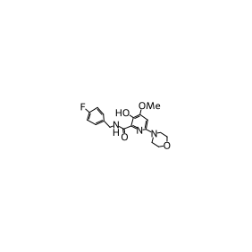 COc1cc(N2CCOCC2)nc(C(=O)NCc2ccc(F)cc2)c1O